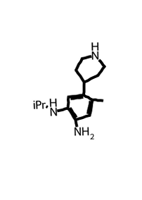 Cc1cc(N)c(NC(C)C)cc1C1CCNCC1